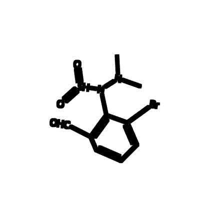 CN(C)N(c1c(Br)cccc1C=O)[SH](=O)=O